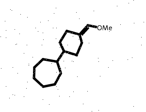 COC=C1CCC(C2CCCCCC2)CC1